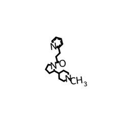 CN1CCC(C2CCCN2C(=O)CCc2ccccn2)CC1